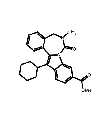 COC(=O)c1ccc2c(C3CCCCC3)c3n(c2c1)C(=O)N(C)Cc1ccccc1-3